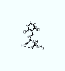 C#CC(N=Cc1c(Cl)cccc1Cl)NC(=N)N